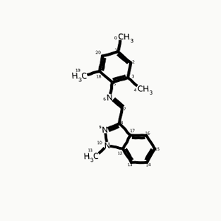 Cc1cc(C)c(/N=C/c2nn(C)c3ccccc23)c(C)c1